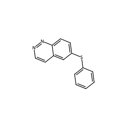 c1ccc(Sc2ccc3nnccc3c2)cc1